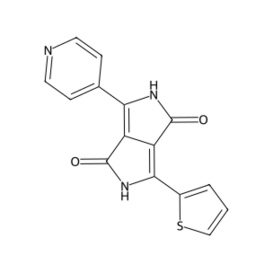 O=C1NC(c2cccs2)=C2C(=O)NC(c3ccncc3)=C12